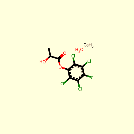 CC(O)C(=O)Oc1c(Cl)c(Cl)c(Cl)c(Cl)c1Cl.O.[CaH2]